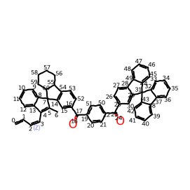 C=C/C=C\C1=C(C)C2(c3ccccc31)c1cc(C(=O)c3ccc(C(=O)c4ccc5c(c4)C4(c6ccccc6-c6ccccc64)c4ccccc4-5)cc3)ccc1C1CCCCC12